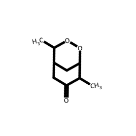 CC1OOC2CC1CC(=O)C2C